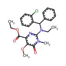 CCOC(=O)c1nc(N(CC)C(c2ccccc2)c2ccccc2Cl)n(C)c(=O)c1OC